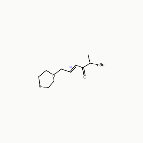 CCCCC(C)C(=O)/C=C/CN1CCSCC1